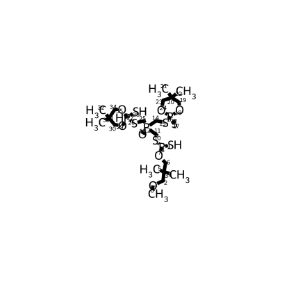 COCC(C)(C)COP(S)SCP(=O)(CSP1(=S)OCC(C)(C)CO1)CS[PH]1(S)OCC(C)(C)CO1